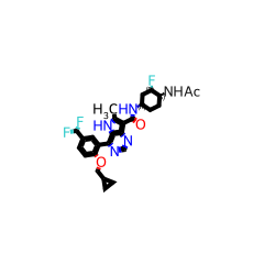 CC(=O)N[C@H]1CC[C@@H](NC(=O)c2c(C)[nH]c3c(-c4cc(C(F)F)ccc4OCC4CC4)ncnc23)C[C@H]1F